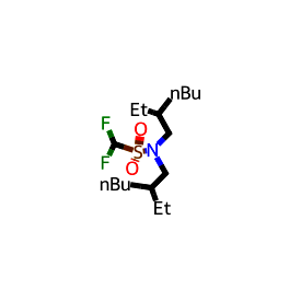 CCCCC(CC)CN(CC(CC)CCCC)S(=O)(=O)C(F)F